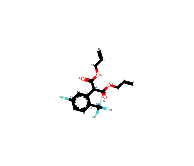 C=CCOC(=O)C(C(=O)OCC=C)c1cc(F)ccc1C(F)(F)F